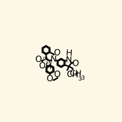 CCC1(CC)C(=O)Nc2cc(N3C(=O)c4ccccc4[C@H](C(=O)O)[C@H]3c3ccc4c(c3)OCCO4)ccc21